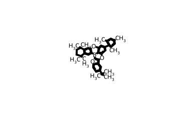 Cc1cc(C)c(-c2cc3c4c(c2)Oc2c(oc5ccc(C(C)(C)C)cc25)B4c2cc4c(cc2O3)C(C)(C)CCC4(C)C)c(C)c1